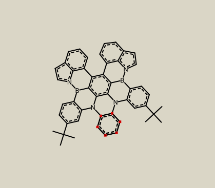 CC(C)(C)c1ccc2c(c1)N(c1ccccc1)c1c3c(c4c5c1N(c1ccccc1)c1cc(C(C)(C)C)ccc1B5n1ccc5cccc-4c51)-c1cccc4ccn(c14)B23